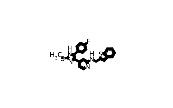 CSc1nc(-c2ccnc(NCc3cc4ccccc4s3)c2)c(-c2ccc(F)cc2)[nH]1